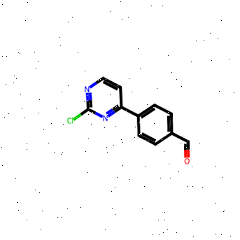 O=Cc1ccc(-c2ccnc(Cl)n2)cc1